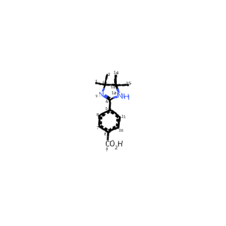 CC1(C)N=C(c2ccc(C(=O)O)cc2)NC1(C)C